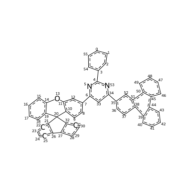 c1ccc(-c2nc(-c3ccc4c(c3)Oc3ccccc3C43c4ccccc4-c4ccccc43)cc(-c3ccc4c5ccccc5c5ccccc5c4c3)n2)cc1